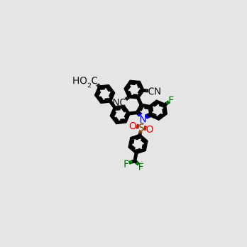 N#Cc1cccc(C#N)c1-c1c(-c2cccc(-c3ccc(C(=O)O)cc3)c2)n(S(=O)(=O)c2ccc(C(F)F)cc2)c2ccc(F)cc12